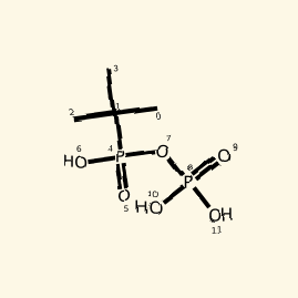 CC(C)(C)P(=O)(O)OP(=O)(O)O